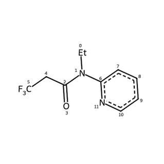 CCN(C(=O)CC(F)(F)F)c1ccccn1